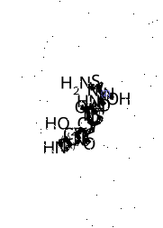 Nc1nc(/C(=N/O)C(=O)N[C@@H]2C(=O)N3C(C(=O)O)=C(C=C4CCN(C[C@H]5CNC[C@@H]5C(F)(F)F)C4=O)CS[C@H]23)cs1